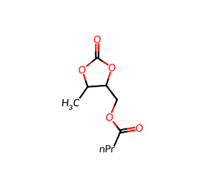 CCCC(=O)OCC1OC(=O)OC1C